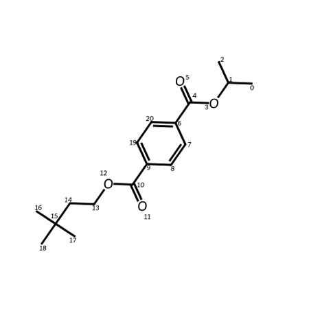 CC(C)OC(=O)c1ccc(C(=O)OCCC(C)(C)C)cc1